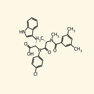 Cc1cc(C)cc(C(=O)N(C)[C@@H](C)C(=O)N(c2ccc(Cl)cc2)[C@@H](Cc2c[nH]c3ccccc23)C(=O)O)c1